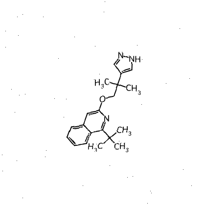 CC(C)(C)c1nc(OCC(C)(C)c2cn[nH]c2)cc2ccccc12